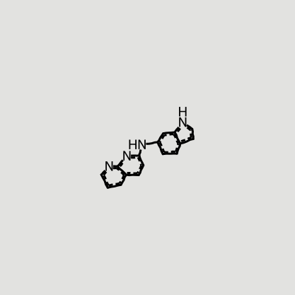 c1cnc2nc(Nc3ccc4cc[nH]c4c3)ccc2c1